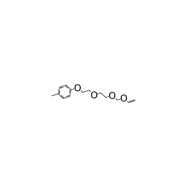 C=COCOCCOCCOc1ccc(C)cc1